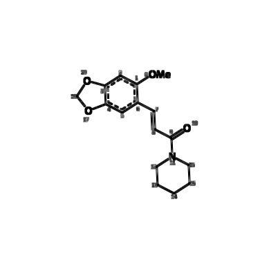 COc1cc2c(cc1/C=C/C(=O)N1CCCCC1)OCO2